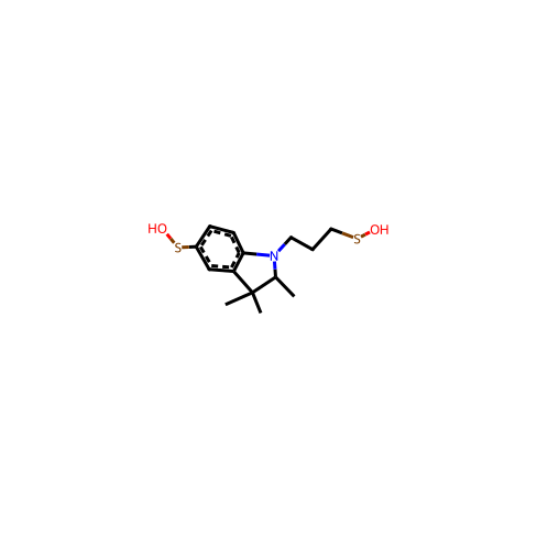 CC1N(CCCSO)c2ccc(SO)cc2C1(C)C